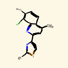 COc1ccc2c(OC)cc(-c3csc(C(C)C)n3)nc2c1Cl